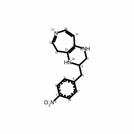 O=[N+]([O-])c1ccc(CC2CNC3=C(CC=NC=C3)N2)cc1